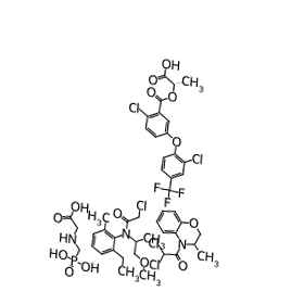 CC1COc2ccccc2N1C(=O)C(Cl)Cl.CCc1cccc(C)c1N(C(=O)CCl)C(C)COC.C[C@H](OC(=O)c1cc(Oc2ccc(C(F)(F)F)cc2Cl)ccc1Cl)C(=O)O.O=C(O)CNCP(=O)(O)O